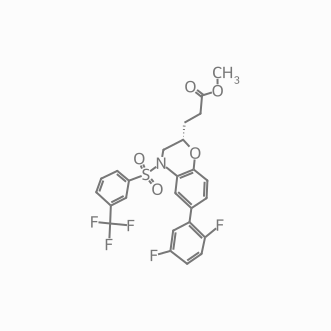 COC(=O)CC[C@H]1CN(S(=O)(=O)c2cccc(C(F)(F)F)c2)c2cc(-c3cc(F)ccc3F)ccc2O1